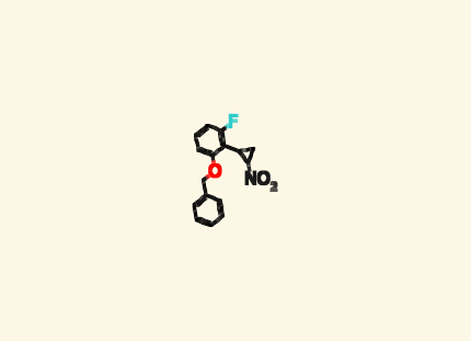 O=[N+]([O-])C1CC1c1c(F)cccc1OCc1ccccc1